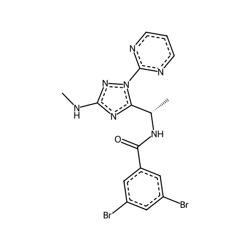 CNc1nc([C@H](C)NC(=O)c2cc(Br)cc(Br)c2)n(-c2ncccn2)n1